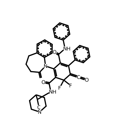 C=C1CCCc2ccccc2N1C1=C(C(=O)NC2CN3CCC2CC3)C(F)(F)C(=C=O)C(c2ccccc2)=C1C(=O)Nc1ccccc1